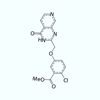 COC(=O)c1cc(OCc2nc3cnccc3c(=O)[nH]2)ccc1Cl